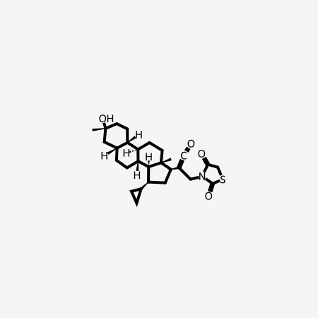 C[C@@]1(O)CC[C@H]2[C@H](CC[C@@H]3[C@@H]2CC[C@@]2(C)[C@H]3[C@H](C3CC3)C[C@@H]2C(=C=O)CN2C(=O)CSC2=O)C1